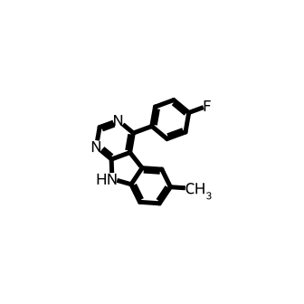 Cc1ccc2[nH]c3ncnc(-c4ccc(F)cc4)c3c2c1